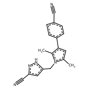 Cc1cc(-c2ccc(C#N)cc2)c(C)n1Cc1cc(C#N)n[nH]1